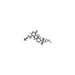 CCS(=O)(=O)c1ccc(Sc2cc(F)ccc2OCC#N)c(Cl)c1